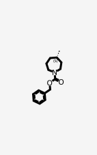 C[C@H]1CCCN(C(=O)OCc2ccccc2)CC1